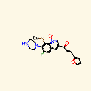 CCSc1c(N2CCNCC2)c(F)cc2cc(C(=O)C=Cc3ccco3)c[n+]([O-])c12